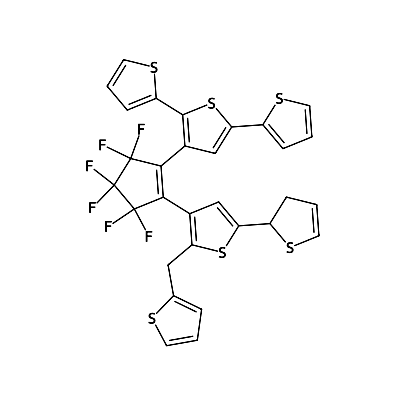 FC1(F)C(c2cc(C3CC=CS3)sc2Cc2cccs2)=C(c2cc(-c3cccs3)sc2-c2cccs2)C(F)(F)C1(F)F